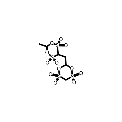 CC1OS(=O)(=O)C(CC2OS(=O)(=O)CS(=O)(=O)O2)S(=O)(=O)O1